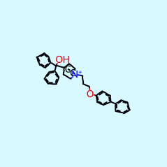 OC(c1ccccc1)(c1ccccc1)C12CC[N+](CCCOc3ccc(-c4ccccc4)cc3)(CC1)CC2